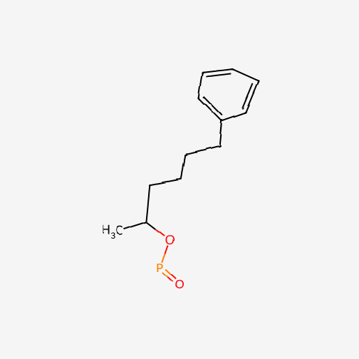 CC(CCCCc1ccccc1)OP=O